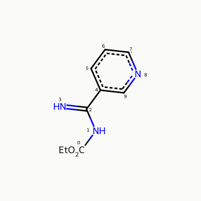 CCOC(=O)NC(=N)c1cc[c]nc1